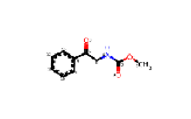 COC(=O)NCC(=O)c1ccccc1